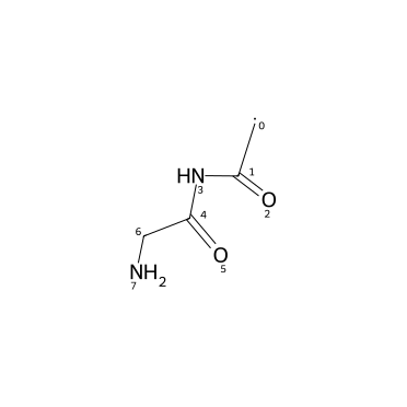 [CH2]C(=O)NC(=O)CN